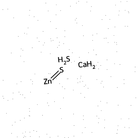 S.[CaH2].[S]=[Zn]